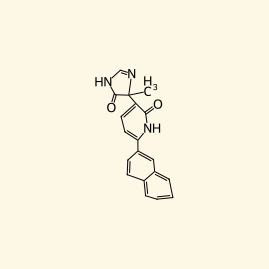 CC1(c2ccc(-c3ccc4ccccc4c3)[nH]c2=O)N=CNC1=O